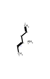 C=CC/C=C/C.[AlH3]